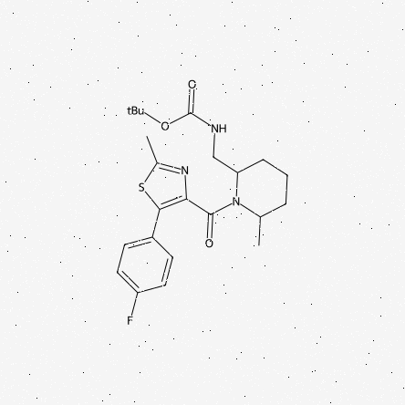 Cc1nc(C(=O)N2C(C)CCCC2CNC(=O)OC(C)(C)C)c(-c2ccc(F)cc2)s1